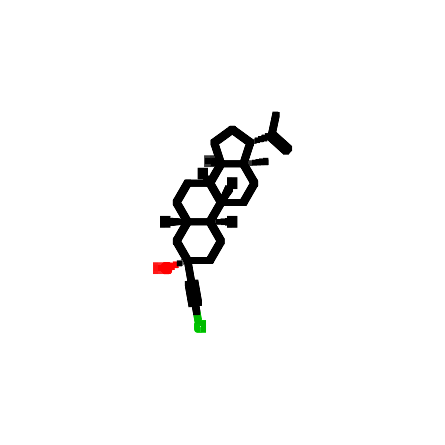 C=C(C)[C@H]1CC[C@H]2[C@@H]3CC[C@H]4C[C@](O)(C#CCl)CC[C@@H]4[C@H]3CC[C@]12C